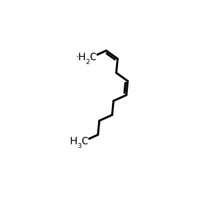 [CH2]/C=C\C/C=C\CCCCC